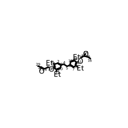 CCc1cc(CCc2cc(CC)c(OCC3OC3C)c(CC)c2)cc(CC)c1OCC1OC1C